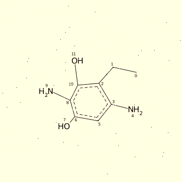 CCc1c(N)cc(O)c(N)c1O